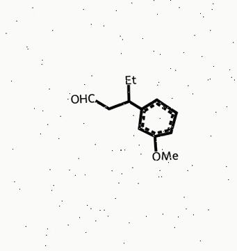 CCC(CC=O)c1cccc(OC)c1